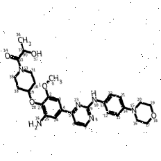 COc1cc(-c2ccnc(Nc3ccc(N4CCOCC4)cc3)n2)cc(N)c1OC1CCN(C(=O)[C@@H](C)O)CC1